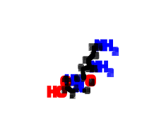 CN(CC(=O)O)NC(=O)CC(N)CCCN